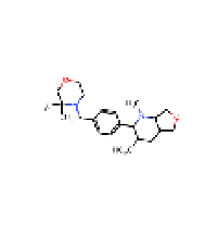 CN1C2COCC2CC(C(=O)O)C1c1ccc(CN2CCOCC2(C)C)cc1